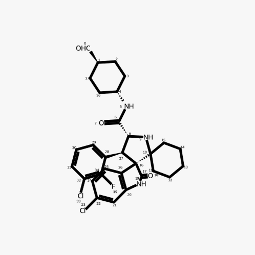 O=C[C@H]1CC[C@H](NC(=O)[C@@H]2NC3(CCCCC3)[C@@]3(C(=O)Nc4cc(Cl)ccc43)[C@H]2c2cccc(Cl)c2F)CC1